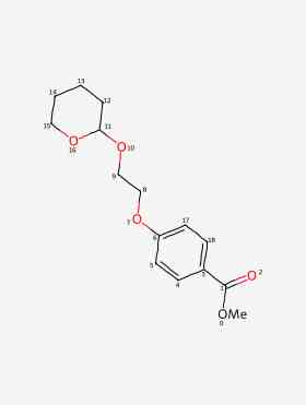 COC(=O)c1ccc(OCCOC2CCCCO2)cc1